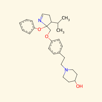 CC(C)C1CC=NC1(COc1ccc(CCN2CCC(O)CC2)cc1)Oc1ccccc1